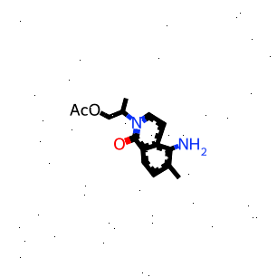 CC(=O)OCC(C)n1ccc2c(N)c(C)ccc2c1=O